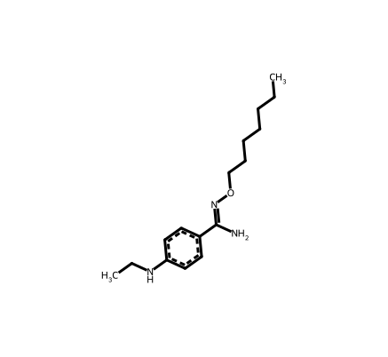 CCCCCCCON=C(N)c1ccc(NCC)cc1